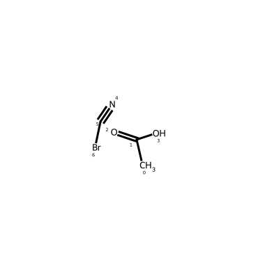 CC(=O)O.N#CBr